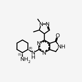 CC1C(c2nc(N[C@@H]3CCCC[C@@H]3N)nc3c2C(=O)NC3)C=NN1C